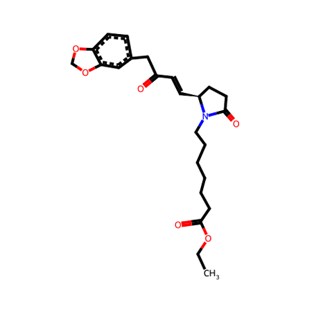 CCOC(=O)CCCCCCN1C(=O)CC[C@@H]1C=CC(=O)Cc1ccc2c(c1)OCO2